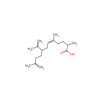 C=C(C)CCC(C/C=C(/C)CCC(C)C(=O)O)C(=C)C